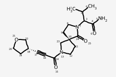 CC(C)C(C(N)=O)N1CC[C@]2(CCN(C(=O)C#C[C@@H]3CCOC3)C2)C1=O